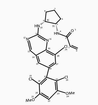 C=CC(=O)N[C@H]1CCC[C@H]1Nc1ncc2cc(-c3c(Cl)c(OC)cc(OC)c3Cl)cc(Cl)c2n1